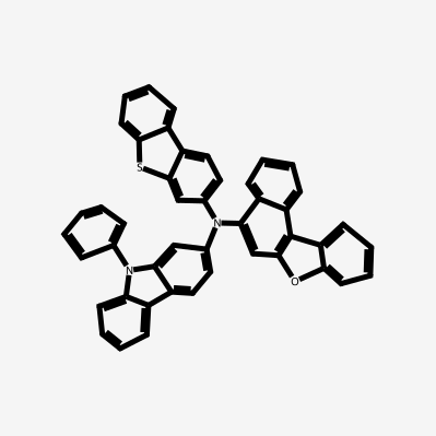 c1ccc(-n2c3ccccc3c3ccc(N(c4ccc5c(c4)sc4ccccc45)c4cc5oc6ccccc6c5c5ccccc45)cc32)cc1